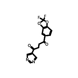 O=C(CCC(=O)c1ccc2c(c1)OC(F)(F)O2)c1cncnc1